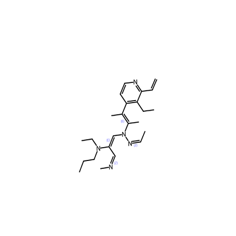 C=Cc1nccc(/C(C)=C(\C)N(/C=C(\C=N/C)N(CC)CCC)/N=C\C)c1CC